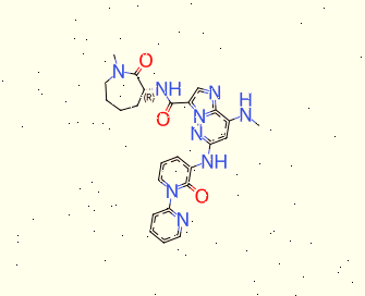 CNc1cc(Nc2cccn(-c3ccccn3)c2=O)nn2c(C(=O)N[C@@H]3CCCCN(C)C3=O)cnc12